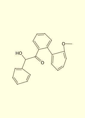 COc1ccccc1-c1ccccc1C(=O)C(O)c1ccccc1